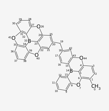 Cc1ccc2c3c1Oc1ccccc1B3c1ccc(Cc3cc4c5c(c3)Oc3cccc6c3B5c3c(cccc3O4)O6)cc1O2